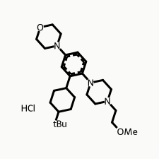 COCCN1CCN(c2ccc(N3CCOCC3)cc2C2CCC(C(C)(C)C)CC2)CC1.Cl